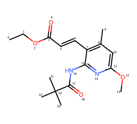 CCOC(=O)/C=C/c1c(C)cc(OC)nc1NC(=O)C(C)(C)C